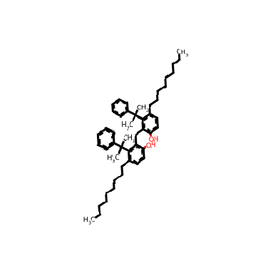 CCCCCCCCCc1ccc(O)c(Cc2c(O)ccc(CCCCCCCCC)c2C(C)(C)c2ccccc2)c1C(C)(C)c1ccccc1